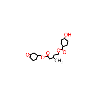 CC(CCOC(=O)C1CCC(O)CC1)CC(=O)OCC1CCC2OC2C1